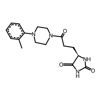 Cc1ccccc1N1CCN(C(=O)CC[C@H]2NC(=O)NC2=O)CC1